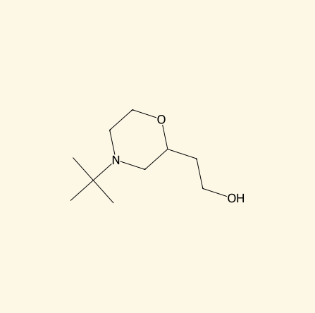 CC(C)(C)N1CCOC(CCO)C1